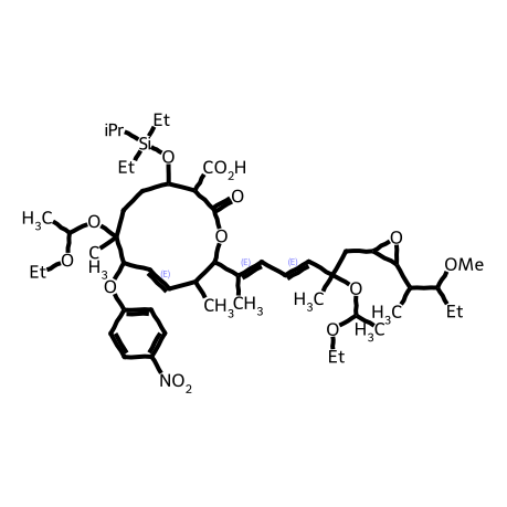 CCOC(C)OC(C)(/C=C/C=C(\C)C1OC(=O)C(C(=O)O)C(O[Si](CC)(CC)C(C)C)CCC(C)(OC(C)OCC)C(Oc2ccc([N+](=O)[O-])cc2)/C=C/C1C)CC1OC1C(C)C(CC)OC